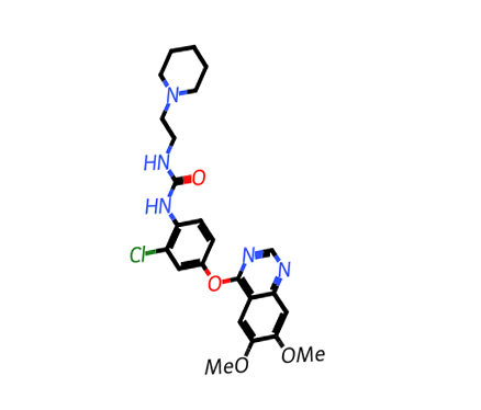 COc1cc2ncnc(Oc3ccc(NC(=O)NCCN4CCCCC4)c(Cl)c3)c2cc1OC